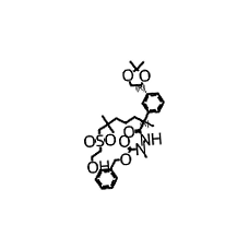 CN(NC(=O)[C@](C)(CCCC(C)(C)CS(=O)(=O)CCO)c1cccc([C@@H]2COC(C)(C)O2)c1)C(=O)OCc1ccccc1